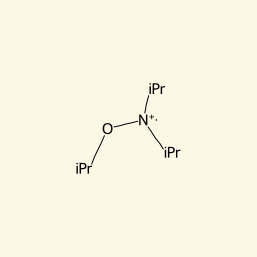 CC(C)O[N+](C(C)C)C(C)C